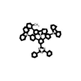 Cc1ccccc1-c1ccc2c(c1)c1ccccc1n2-c1c(-c2ccc(-n3c4ccccc4c4ccccc43)cc2)cc(-c2nc(-c3ccccc3)nc(-c3ccccc3)n2)cc1-c1ccc(-n2c3ccccc3c3ccccc32)cc1